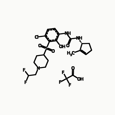 CC1=CCC[C@H]1NC(=O)Nc1ccc(Cl)c(S(=O)(=O)C2CCN(CC(F)F)CC2)c1O.O=C(O)C(F)(F)F